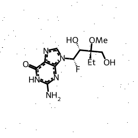 CC[C@](CO)(OC)[C@@H](O)[C@H](F)n1cnc2c(=O)[nH]c(N)nc21